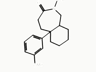 COc1cccc(C23CCCCC2CN(C)C(=O)CC3)c1